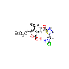 CCOC(=O)CC1OB(O)c2cc(Oc3nnc(CNCl)s3)cc(C)c21